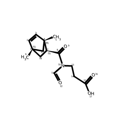 C[C@@]12C=C[C@@](C)(C1)[C@@H](C(=O)N(C=O)CCC(=O)O)C2